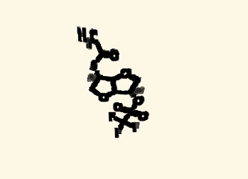 CC(=O)S[C@H]1COC2C1OC[C@@H]2OS(=O)(=O)C(F)(F)F